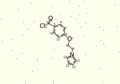 O=C(Cl)c1ccc(OCCn2[c]ccc2)cc1